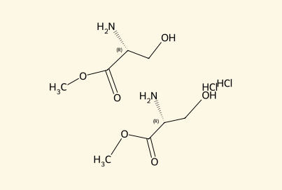 COC(=O)[C@H](N)CO.COC(=O)[C@H](N)CO.Cl.Cl